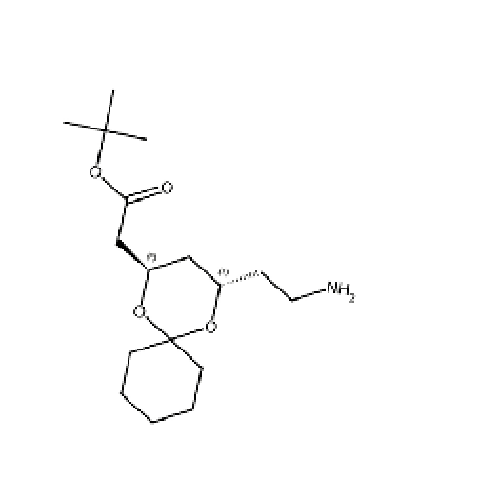 CC(C)(C)OC(=O)C[C@H]1C[C@H](CCN)OC2(CCCCC2)O1